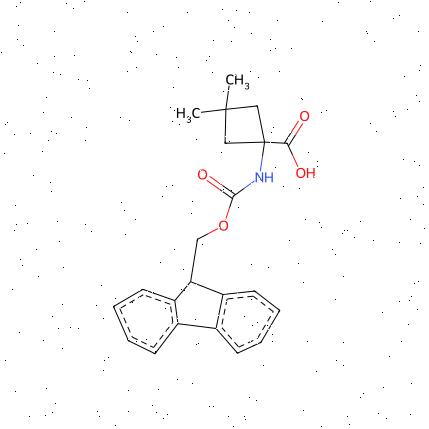 CC1(C)CC(NC(=O)OCC2c3ccccc3-c3ccccc32)(C(=O)O)C1